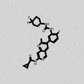 Cc1nc2cc(NC(=O)C3CC3)ncc2cc1-c1ccc(F)c(NC(=O)NC2CCC(F)(F)CC2)c1